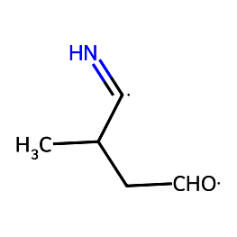 CC([C]=N)C[C]=O